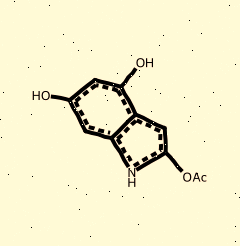 CC(=O)Oc1cc2c(O)cc(O)cc2[nH]1